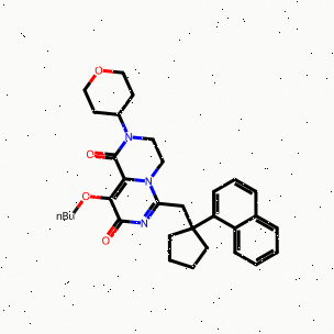 CCCCOc1c2n(c(CC3(c4cccc5ccccc45)CCCC3)nc1=O)CCN(C1CCOCC1)C2=O